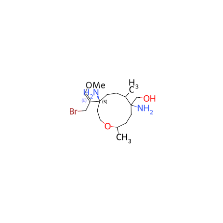 CO/C=C(/CBr)[C@@]1(N)CCOC(C)CCC(N)(CO)C(C)CC1